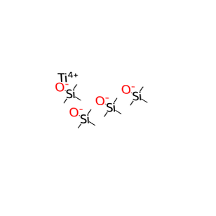 C[Si](C)(C)[O-].C[Si](C)(C)[O-].C[Si](C)(C)[O-].C[Si](C)(C)[O-].[Ti+4]